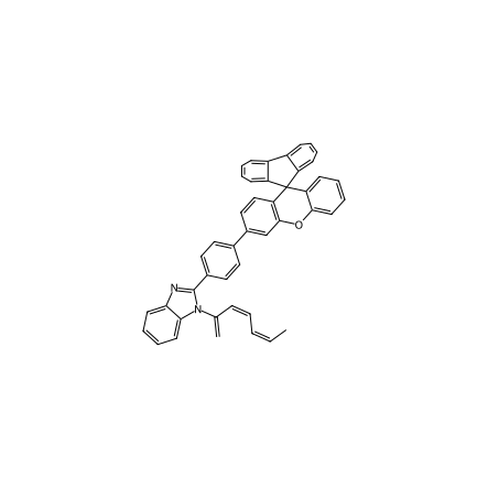 C=C(/C=C\C=C/C)n1c(-c2ccc(-c3ccc4c(c3)Oc3ccccc3C43c4ccccc4-c4ccccc43)cc2)nc2ccccc21